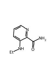 CCNc1cccnc1C(N)=O